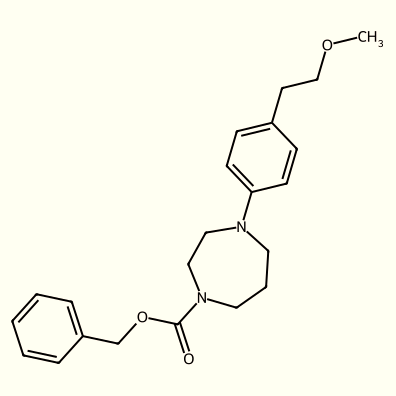 COCCc1ccc(N2CCCN(C(=O)OCc3ccccc3)CC2)cc1